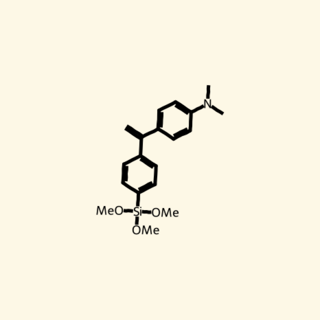 C=C(c1ccc(N(C)C)cc1)c1ccc([Si](OC)(OC)OC)cc1